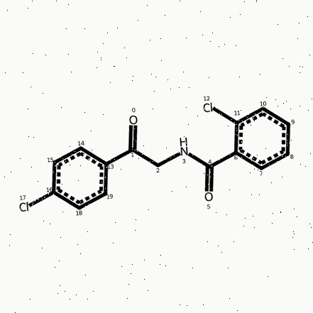 O=C(CNC(=O)c1ccccc1Cl)c1ccc(Cl)cc1